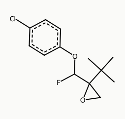 CC(C)(C)C1(C(F)Oc2ccc(Cl)cc2)CO1